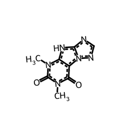 Cn1c(=O)c2c([nH]c3ncnn32)n(C)c1=O